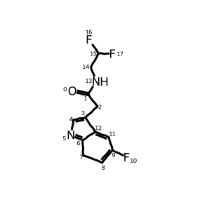 O=C(CC1=CN=C2CC=C(F)C=C12)NCC(F)F